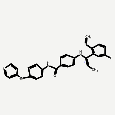 C=Nc1ccc(F)cc1/C(=C\C)Nc1ccc(C(=O)Nc2ccc(Nc3ccncc3)cc2)cc1